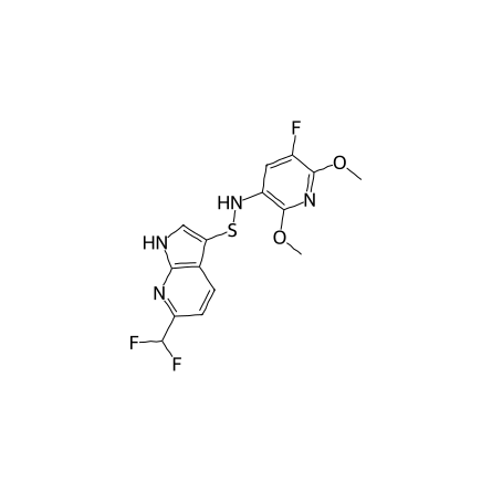 COc1nc(OC)c(NSc2c[nH]c3nc(C(F)F)ccc23)cc1F